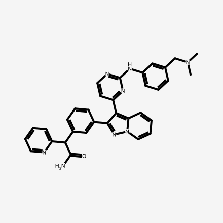 CN(C)Cc1cccc(Nc2nccc(-c3c(-c4cccc(C(C(N)=O)c5ccccn5)c4)nn4ccccc34)n2)c1